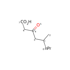 CCCC(C)CC(=O)CC(=O)O